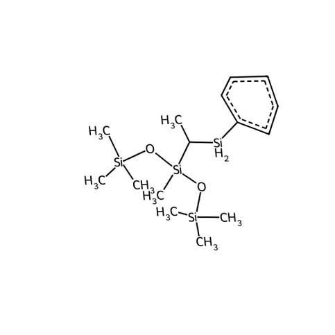 CC([SiH2]c1ccccc1)[Si](C)(O[Si](C)(C)C)O[Si](C)(C)C